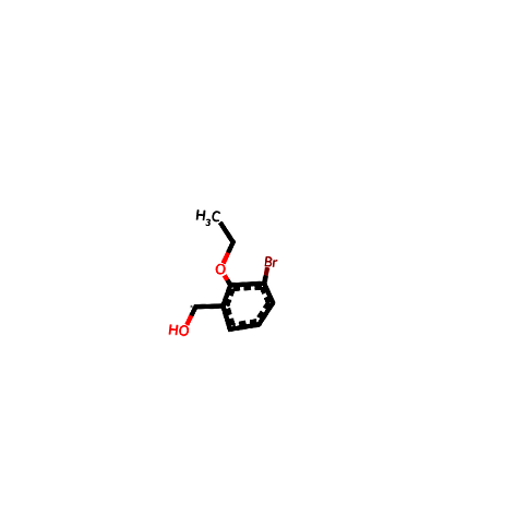 CCOc1c(Br)cccc1[CH]O